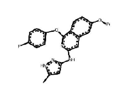 Cc1cc(Nc2cc3cc(OC(C)C)ccc3c(Oc3ccc(F)cc3)n2)n[nH]1